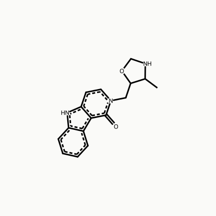 CC1NCOC1Cn1ccc2[nH]c3ccccc3c2c1=O